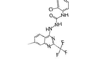 Cc1ccc2c(NNC(=O)Nc3ccccc3Cl)nc(C(F)(F)F)nc2c1